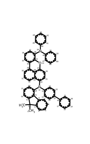 CC1(C)c2ccccc2-c2c(N(c3ccc(-c4ccccc4)cc3)c3ccc4c5c(cccc35)-c3cccc(N(c5ccccc5)c5ccccc5)c3O4)cccc21